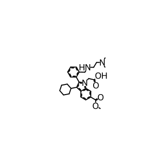 COC(=O)c1ccc2c(C3CCCCC3)c(-c3ccccc3CNCCN(C)C)n(CC(=O)O)c2c1